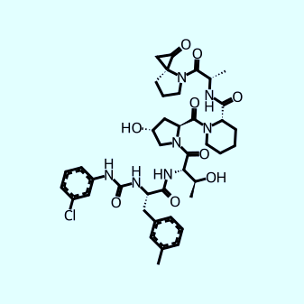 Cc1cccc(C[C@H](NC(=O)Nc2cccc(Cl)c2)C(=O)N[C@H](C(=O)N2C[C@H](O)C[C@H]2C(=O)N2CCCC[C@H]2C(=O)N[C@@H](C)C(=O)N2CCC[C@@]23CC3=O)[C@H](C)O)c1